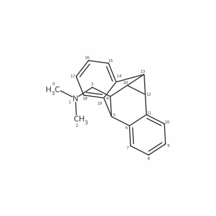 CN(C)CC1C2c3ccccc3C3C(c4ccccc42)C13